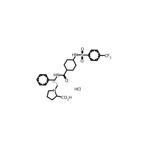 Cl.O=C(N[C@H](CN1CCCC1C(=O)O)c1ccccc1)C1CCC(NS(=O)(=O)c2ccc(C(F)(F)F)cc2)CC1